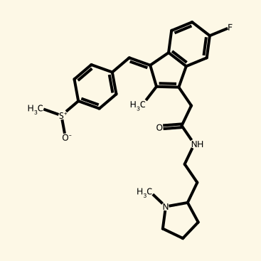 CC1=C(CC(=O)NCCC2CCCN2C)c2cc(F)ccc2C1=Cc1ccc([S+](C)[O-])cc1